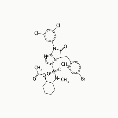 CC(=O)O[C@@H]1CCCCC1N(C)S(=O)(=O)c1cnc2n1[C@](C)(Cc1ccc(Br)cc1)C(=O)N2c1cc(Cl)cc(Cl)c1